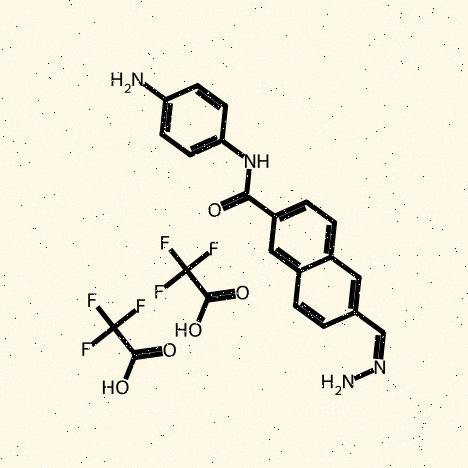 N/N=C\c1ccc2cc(C(=O)Nc3ccc(N)cc3)ccc2c1.O=C(O)C(F)(F)F.O=C(O)C(F)(F)F